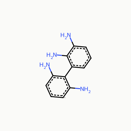 Nc1[c]ccc(N)c1-c1cccc(N)c1N